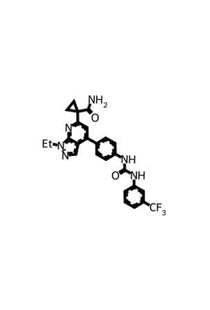 CCn1ncc2c(-c3ccc(NC(=O)Nc4cccc(C(F)(F)F)c4)cc3)cc(C3(C(N)=O)CC3)nc21